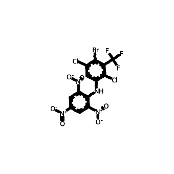 O=[N+]([O-])c1cc([N+](=O)[O-])c(Nc2cc(Cl)c(Br)c(C(F)(F)F)c2Cl)c([N+](=O)[O-])c1